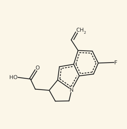 C=Cc1cc(F)cc2c1cc1n2CCC1CC(=O)O